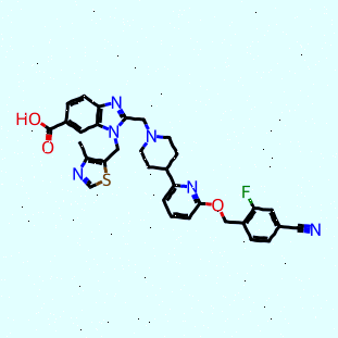 Cc1ncsc1Cn1c(CN2CCC(c3cccc(OCc4ccc(C#N)cc4F)n3)CC2)nc2ccc(C(=O)O)cc21